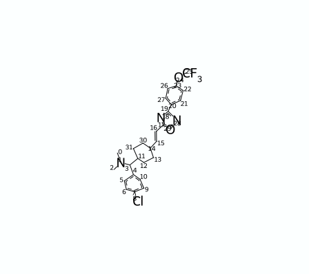 CN(C)C(c1ccc(Cl)cc1)C1CCC(/C=C/c2nc(-c3ccc(OC(F)(F)F)cc3)no2)CC1